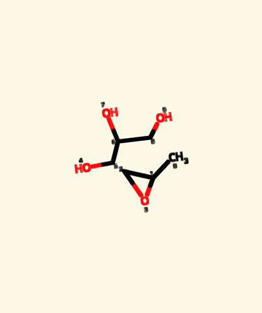 CC1CO1.OCC(O)CO